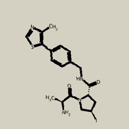 Cc1ncsc1-c1ccc(CNC(=O)[C@@H]2C[C@@H](I)CN2C(=O)[C@H](C)N)cc1